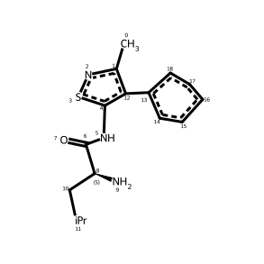 Cc1nsc(NC(=O)[C@@H](N)CC(C)C)c1-c1ccccc1